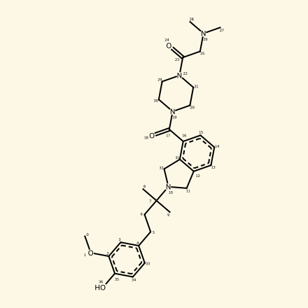 COc1cc(CCC(C)(C)N2Cc3cccc(C(=O)N4CCN(C(=O)CN(C)C)CC4)c3C2)ccc1O